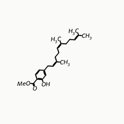 COC(=O)c1ccc(CC=C(C)CCC=C(C)CCC=C(C)C)cc1O